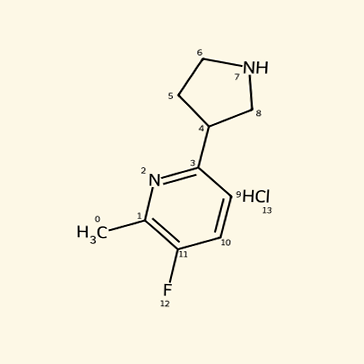 Cc1nc(C2CCNC2)ccc1F.Cl